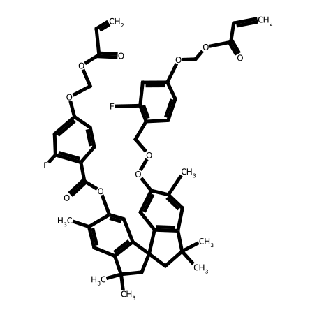 C=CC(=O)OCOc1ccc(COOc2cc3c(cc2C)C(C)(C)CC32CC(C)(C)c3cc(C)c(OC(=O)c4ccc(OCOC(=O)C=C)cc4F)cc32)c(F)c1